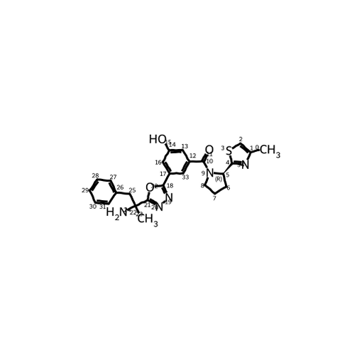 Cc1csc([C@H]2CCCN2C(=O)c2cc(O)cc(-c3nnc(C(C)(N)Cc4ccccc4)o3)c2)n1